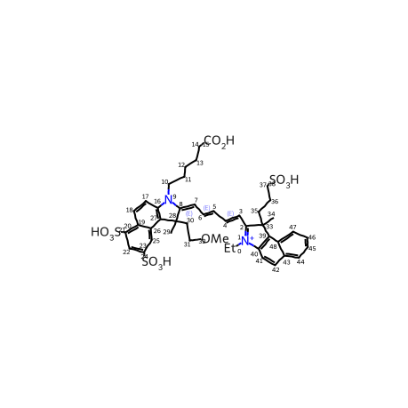 CC[N+]1=C(/C=C/C=C/C=C2/N(CCCCCC(=O)O)c3ccc4c(S(=O)(=O)O)cc(S(=O)(=O)O)cc4c3C2(C)CCOC)C(C)(CCCS(=O)(=O)O)c2c1ccc1ccccc21